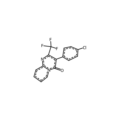 O=c1c(-c2ccc(Cl)cc2)c(C(F)(F)F)nc2ccccn12